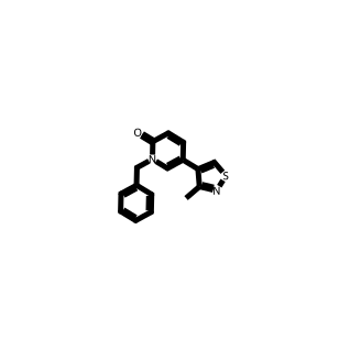 Cc1nscc1-c1ccc(=O)n(Cc2ccccc2)c1